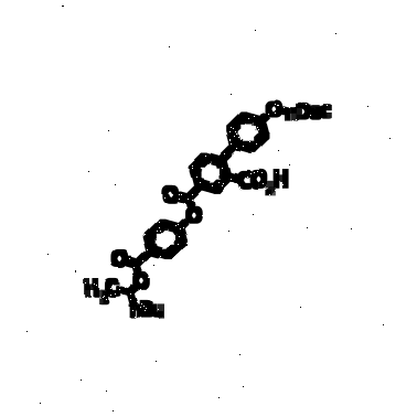 CCCCCCCCCCOc1ccc(-c2ccc(C(=O)Oc3ccc(C(=O)OC(C)CCCC)cc3)cc2C(=O)O)cc1